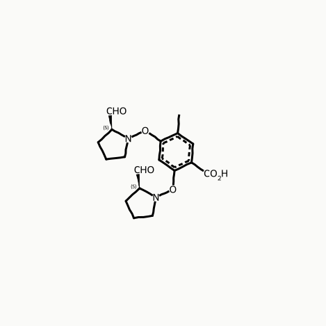 Cc1cc(C(=O)O)c(ON2CCC[C@H]2C=O)cc1ON1CCC[C@H]1C=O